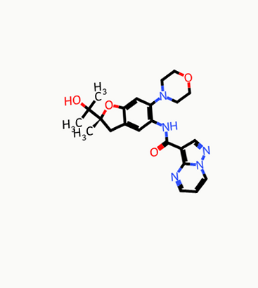 CC(C)(O)[C@@]1(C)Cc2cc(NC(=O)c3cnn4cccnc34)c(N3CCOCC3)cc2O1